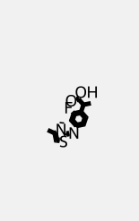 Cc1csc(=Nc2ccc(C(C)C(=O)O)c(F)c2)n1C